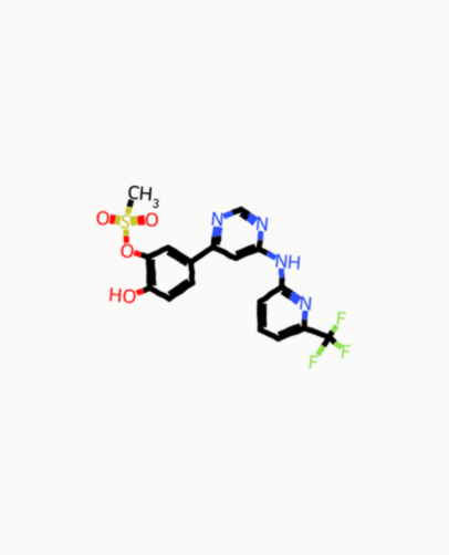 CS(=O)(=O)Oc1cc(-c2cc(Nc3cccc(C(F)(F)F)n3)ncn2)ccc1O